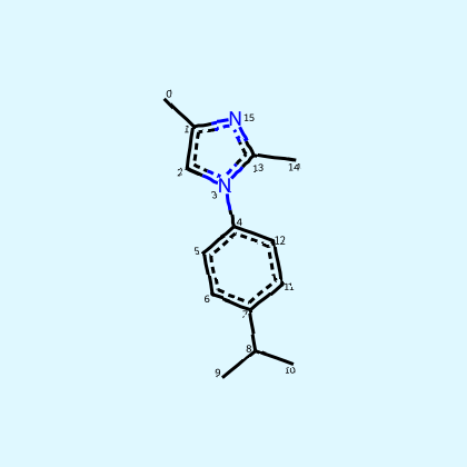 Cc1cn(-c2ccc(C(C)C)cc2)c(C)n1